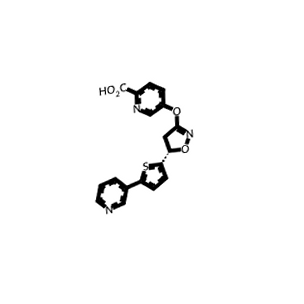 O=C(O)c1ccc(OC2=NO[C@H](c3ccc(-c4cccnc4)s3)C2)cn1